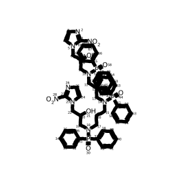 O=[N+]([O-])c1nccn1CC(O)CN(CCCN(CCCN(CC(O)Cn1ccnc1[N+](=O)[O-])P(=O)(c1ccccc1)c1ccccc1)P(=O)(c1ccccc1)c1ccccc1)P(=O)(c1ccccc1)c1ccccc1